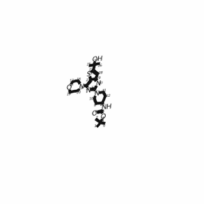 CC(C)(C)OC(=O)NC1CCN(c2nc(N3CCOCC3)c3sc(C(C)(C)O)cc3n2)CC1